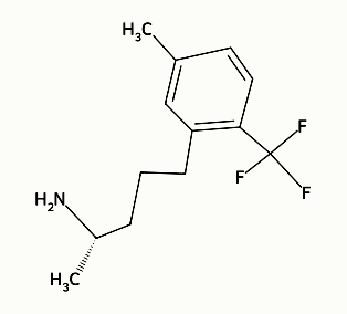 Cc1ccc(C(F)(F)F)c(CCC[C@H](C)N)c1